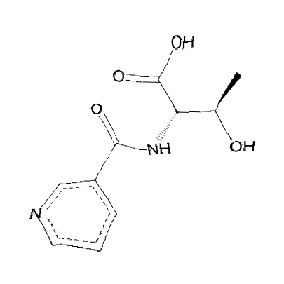 C[C@@H](O)[C@H](NC(=O)c1cccnc1)C(=O)O